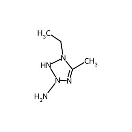 CCN1NN(N)N=C1C